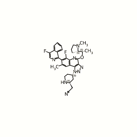 Cc1cc2c(nc(O[C@@H](C)[C@@H]3CCCN3C)c3nnn([C@H]4CCN[C@H](CC#N)C4)c32)c(F)c1-c1ncc(F)c2ccccc12